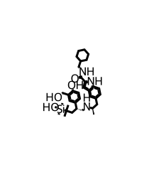 C[C@H](Cc1ccc2[nH]c(C(=O)NCC3CCCCC3)cc2c1)NC[C@H](CC(C)(C)[Si](C)(C)O)c1ccc(O)c(CO)c1